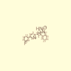 O=C1NC[C@@H]2C(/C=C/c3ccc(-c4cccc(F)c4)cn3)C3CCCCC3CN12